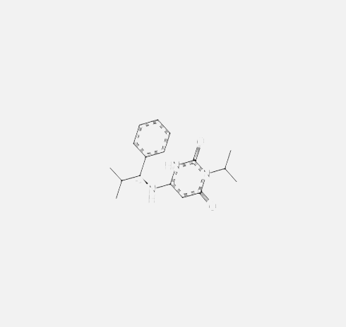 CC(C)[C@H](Nc1cc(=O)n(C(C)C)c(=O)[nH]1)c1ccccc1